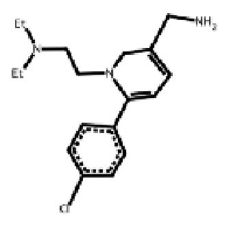 CCN(CC)CCN1CC(CN)=CC=C1c1ccc(Cl)cc1